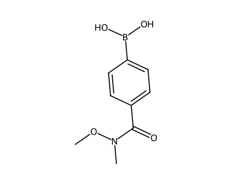 CON(C)C(=O)c1ccc(B(O)O)cc1